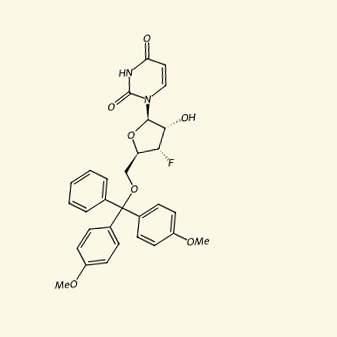 COc1ccc(C(OC[C@H]2O[C@@H](n3ccc(=O)[nH]c3=O)[C@H](O)[C@@H]2F)(c2ccccc2)c2ccc(OC)cc2)cc1